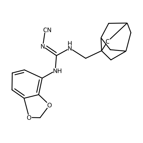 N#C/N=C(\NCC12CC3CC(CC1C3)C2)Nc1cccc2c1OCO2